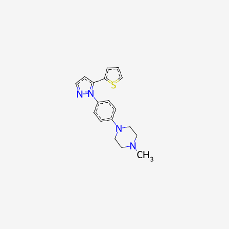 CN1CCN(c2ccc(-n3nccc3-c3cccs3)cc2)CC1